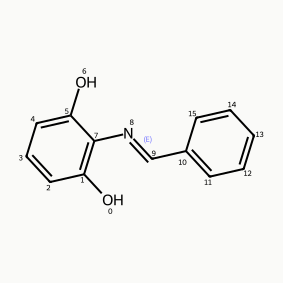 Oc1cccc(O)c1/N=C/c1ccccc1